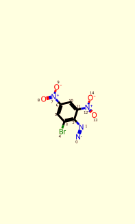 [N]=Nc1c(Br)cc([N+](=O)[O-])cc1[N+](=O)[O-]